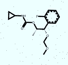 COCO[C@@H](c1ccccc1F)[C@H](C)OC(=O)NC1CC1